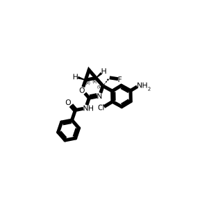 Nc1ccc(Cl)c([C@@]2(CF)N=C(NC(=O)c3ccccc3)O[C@@H]3C[C@@H]32)c1